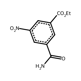 CCOC(=O)c1cc(C(N)=O)cc([N+](=O)[O-])c1